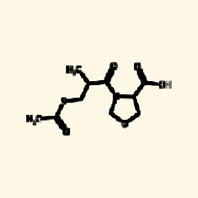 CC(=O)SCC(C)C(=O)N1COCC1C(=O)O